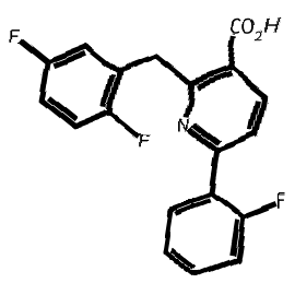 O=C(O)c1ccc(-c2ccccc2F)nc1Cc1cc(F)ccc1F